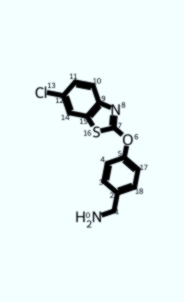 NCc1ccc(Oc2nc3ccc(Cl)cc3s2)cc1